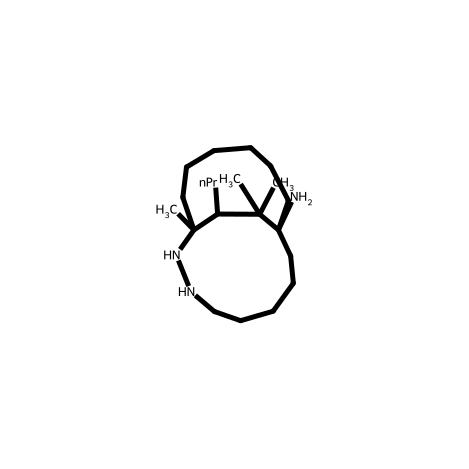 CCCC1C2(C)CCCCCCC(N)(CCCCCNN2)C1(C)C